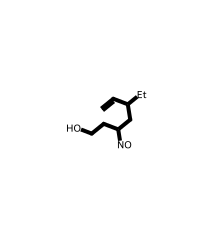 C=CC(CC)CC(CCO)N=O